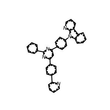 c1ccc(-c2nc(-c3ccc(-c4ccccn4)cc3)cc(-c3ccc(-n4c5ccccc5c5cccnc54)cc3)n2)cc1